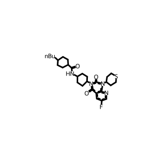 CCCCC1CCC(C(=O)NC2CCC(n3c(=O)c4cc(F)cnc4n(C4CCSCC4)c3=O)CC2)CC1